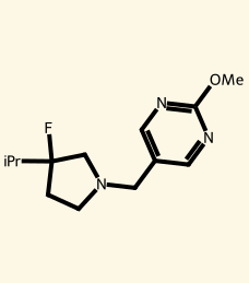 COc1ncc(CN2CCC(F)(C(C)C)C2)cn1